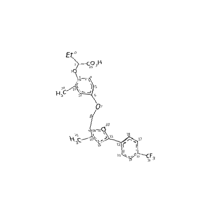 CCC(Oc1ccc(OCc2oc(-c3ccc(C(F)(F)F)cc3)cc2C)cc1C)C(=O)O